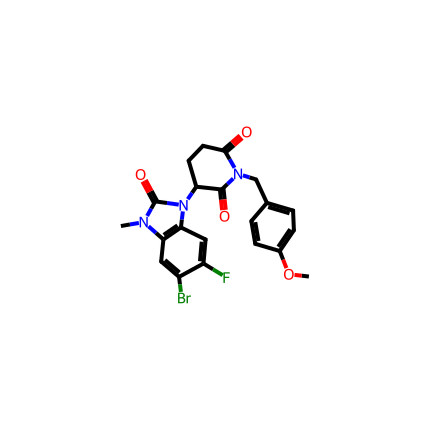 COc1ccc(CN2C(=O)CCC(n3c(=O)n(C)c4cc(Br)c(F)cc43)C2=O)cc1